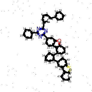 c1ccc(-c2cccc(-c3nc(-c4ccccc4)nc(-c4ccc5c(c4)oc4cccc(-c6ccccc6-c6ccc7sc8ccccc8c7c6)c45)n3)c2)cc1